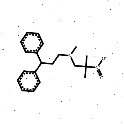 CN(CCC(c1ccccc1)c1ccccc1)CC(C)(C)[N+](=O)[O-]